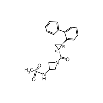 CS(=O)(=O)NC1CN(C(=O)[C@@H]2C[C@H]2c2ccccc2-c2ccccc2)C1